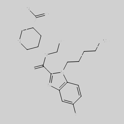 COCCCCn1c(C(=O)N(CC(C)C)[C@@H]2CNC[C@H](C(N)=O)C2)nc2cc(F)ccc21